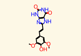 COc1cc(C=Cc2nc3[nH]c(=O)[nH]c(=O)c3[nH]2)cc(OC)c1O